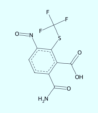 NC(=O)c1ccc(N=O)c(SC(F)(F)F)c1C(=O)O